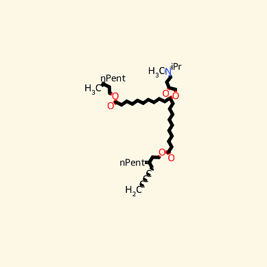 C=C=C=C=CC(CCCCC)CCOC(=O)CCCCCCCCCC1(CCCCCCCCCC(=O)OCCC(C)CCCCC)OCC(CCN(C)C(C)C)O1